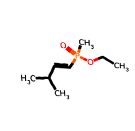 CCOP(C)(=O)/C=C/C(C)C